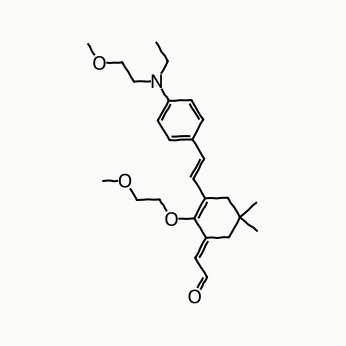 CCN(CCOC)c1ccc(/C=C/C2=C(OCCOC)C(=C/C=O)/CC(C)(C)C2)cc1